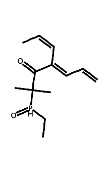 C=C/C=C(\C=C/C)C(=O)C(C)(C)[PH](=O)CC